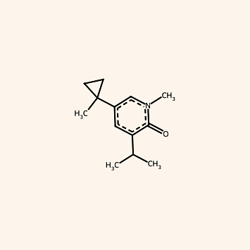 CC(C)c1cc(C2(C)CC2)cn(C)c1=O